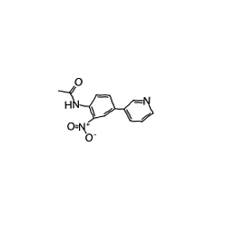 CC(=O)Nc1ccc(-c2cccnc2)cc1[N+](=O)[O-]